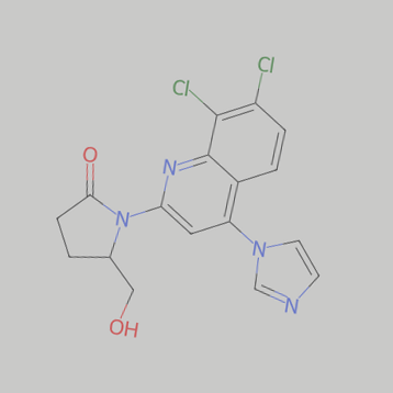 O=C1CCC(CO)N1c1cc(-n2ccnc2)c2ccc(Cl)c(Cl)c2n1